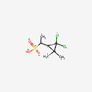 CC(C1C(C)(C)C1(Cl)Cl)S(=O)(=O)O